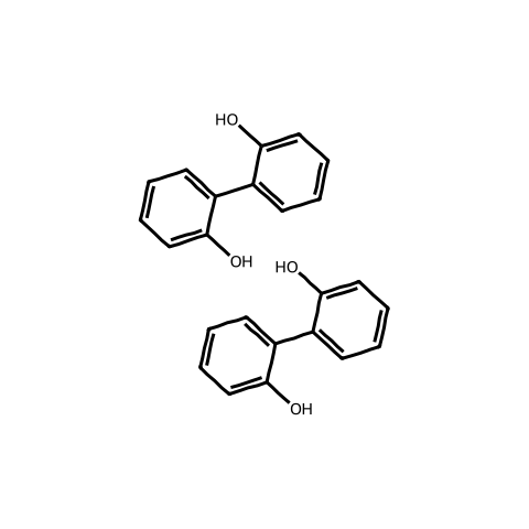 Oc1ccccc1-c1ccccc1O.Oc1ccccc1-c1ccccc1O